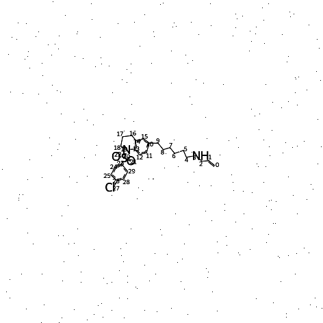 C=CCNCCCCCCc1ccc2c(c1)CCCN2S(=O)(=O)c1ccc(Cl)cc1